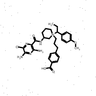 CCC(c1ccc(OC)cc1)[N+]1(CCCc2ccc(C(=O)O)cc2)CCCC(NC(=O)c2nc(Cl)c(N)nc2N)C1